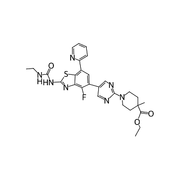 CCNC(=O)Nc1nc2c(F)c(-c3cnc(N4CCC(C)(C(=O)OCC)CC4)nc3)cc(-c3ccccn3)c2s1